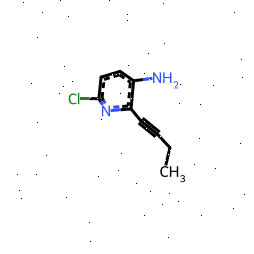 CCC#Cc1nc(Cl)ccc1N